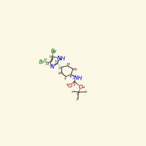 CC(C)(C)OC(=O)N[C@H]1CC[C@H](c2nc(Br)c(Br)[nH]2)CC1